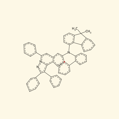 CC1(C)c2ccccc2-c2c(N(c3ccc4c(c3)cc(-c3ccccc3)n3nc(-c5ccccc5)c(-c5ccccc5)c43)c3ccccc3-c3ccccc3)cccc21